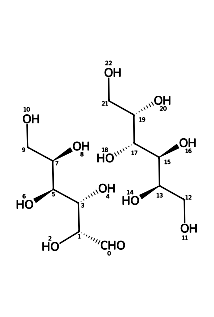 O=C[C@H](O)[C@@H](O)[C@@H](O)[C@H](O)CO.OC[C@@H](O)[C@H](O)[C@H](O)[C@@H](O)CO